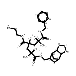 CC(C)(CC(C)(CC(C)(C)C(=O)OCC1CC2CC1C1SSSC21)C(=O)OCCO)C(=O)OCc1ccccc1